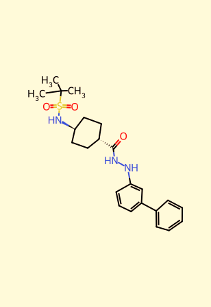 CC(C)(C)S(=O)(=O)N[C@H]1CC[C@H](C(=O)NNc2cccc(-c3ccccc3)c2)CC1